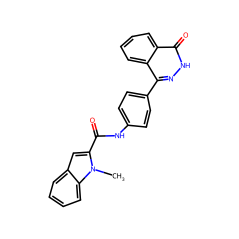 Cn1c(C(=O)Nc2ccc(-c3n[nH]c(=O)c4ccccc34)cc2)cc2ccccc21